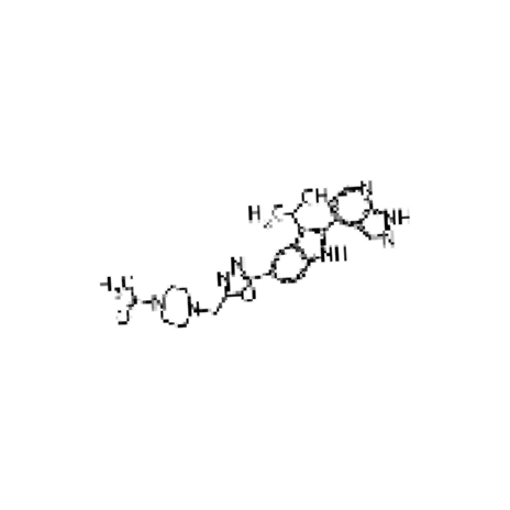 CC(=O)N1CCN(Cc2nnc(-c3ccc4[nH]c(-c5ccnc6[nH]ncc56)c(C(C)C)c4c3)o2)CC1